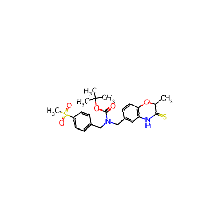 CC1Oc2ccc(CN(Cc3ccc(S(C)(=O)=O)cc3)C(=O)OC(C)(C)C)cc2NC1=S